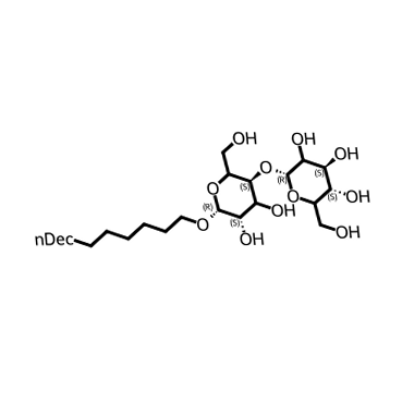 CCCCCCCCCCCCCCCCO[C@@H]1OC(CO)[C@@H](O[C@H]2OC(CO)[C@@H](O)[C@H](O)C2O)C(O)[C@@H]1O